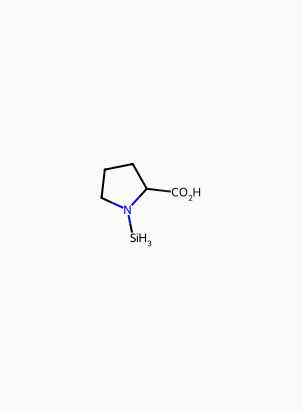 O=C(O)C1CCCN1[SiH3]